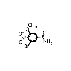 COc1cc(C(N)=O)cc(Br)c1[N+](=O)[O-]